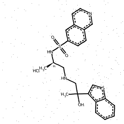 C[C@H](CNCC(C)(O)c1csc2ccccc12)NS(=O)(=O)c1ccc2cnccc2c1.Cl